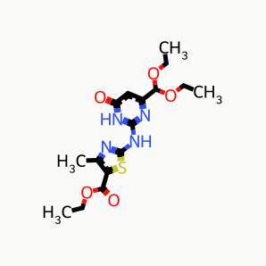 CCOC(=O)c1sc(Nc2nc(C(OCC)OCC)cc(=O)[nH]2)nc1C